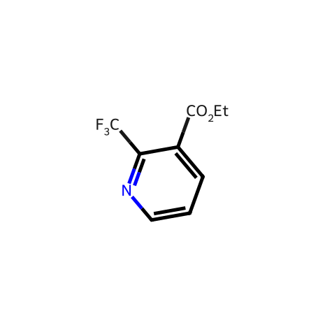 CCOC(=O)c1cccnc1C(F)(F)F